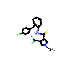 Cn1cc(C(=S)Nc2ccccc2-c2ccc(Cl)cc2)c(C(F)F)c1